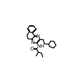 CCC(C)C(=O)Nc1nc2c(nc1CCC1CCCCC1)-c1ccccc1CC2